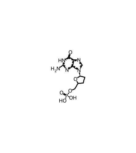 Nc1nc2c(ncn2[C@H]2CCC(COP(=O)(O)O)O2)c(=O)[nH]1